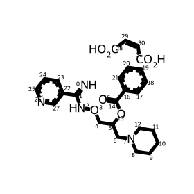 N=C(NOCC(CN1CCCCC1)OC(=O)c1ccccc1)c1cccnc1.O=C(O)/C=C\C(=O)O